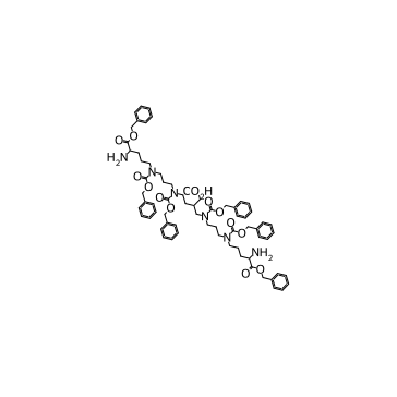 NC(CCCN(CCCN(CCC(CC(=O)O)CN(CCCN(CCCC(N)C(=O)OCc1ccccc1)C(=O)OCc1ccccc1)C(=O)OCc1ccccc1)C(=O)OCc1ccccc1)C(=O)OCc1ccccc1)C(=O)OCc1ccccc1